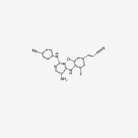 N#CC=Cc1cc(F)c(Nc2nc(Nc3ccc(C#N)cc3)ncc2N)c(Cl)c1